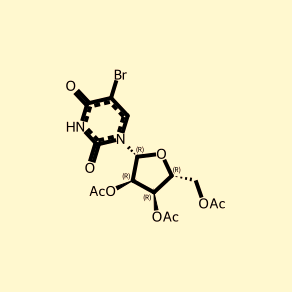 CC(=O)OC[C@H]1O[C@@H](n2cc(Br)c(=O)[nH]c2=O)[C@H](OC(C)=O)[C@@H]1OC(C)=O